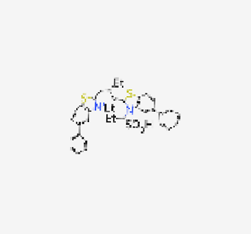 CCC(=Cc1sc2ccc(-c3ccccc3)cc2[n+]1CC)C=C1Sc2ccc(-c3ccccc3)cc2N1C(CC)S(=O)(=O)O